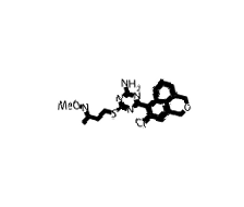 CON=C(C)CCSc1nc(N)nc(-c2c(Cl)cc3c4c(cccc24)COC3)n1